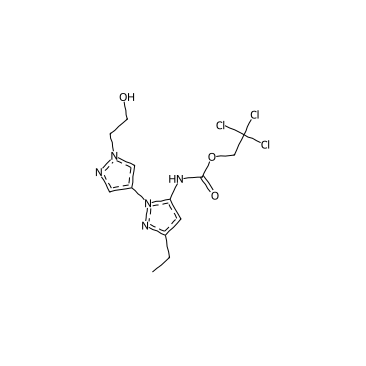 CCc1cc(NC(=O)OCC(Cl)(Cl)Cl)n(-c2cnn(CCO)c2)n1